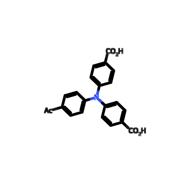 CC(=O)c1ccc(N(c2ccc(C(=O)O)cc2)c2ccc(C(=O)O)cc2)cc1